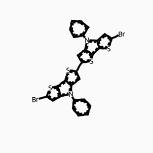 Brc1cc2c(s1)c1sc(-c3cc4c(s3)c3sc(Br)cc3n4-c3ccccc3)cc1n2-c1ccccc1